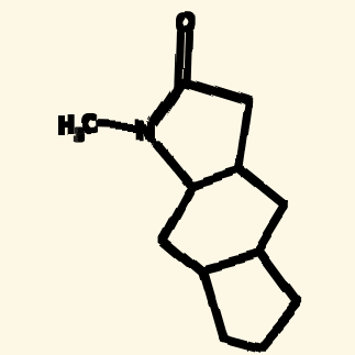 CN1C(=O)CC2CC3CCCC3CC21